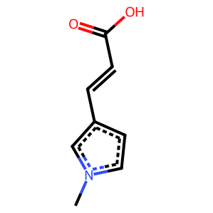 Cn1ccc(C=CC(=O)O)c1